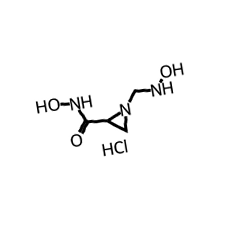 Cl.O=C(NO)C1CN1CNO